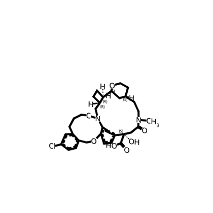 CN1CC[C@H]2CCO[C@@H](C2)[C@@H]2CC[C@H]2CN2CCCCc3cc(Cl)ccc3COc3ccc(cc32)[C@](O)(C(=O)O)CC1=O